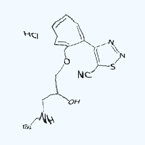 CC(C)(C)NCC(O)COc1ccccc1-c1nnsc1C#N.Cl